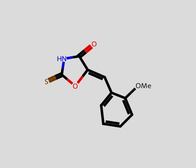 COc1ccccc1C=C1OC(=S)NC1=O